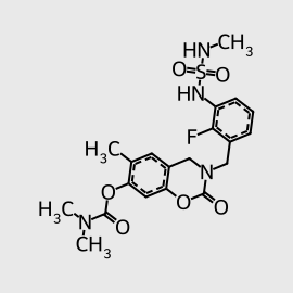 CNS(=O)(=O)Nc1cccc(CN2Cc3cc(C)c(OC(=O)N(C)C)cc3OC2=O)c1F